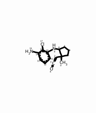 CC1(C=C=O)CCCC1Nc1cccc(N)c1Cl